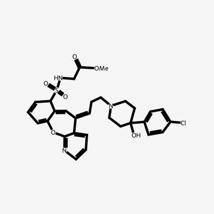 COC(=O)CNS(=O)(=O)C1C=CC=C2Oc3ncccc3C(=CCCN3CCC(O)(c4ccc(Cl)cc4)CC3)C=C21